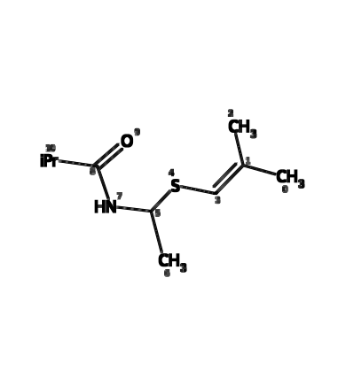 CC(C)=CSC(C)NC(=O)C(C)C